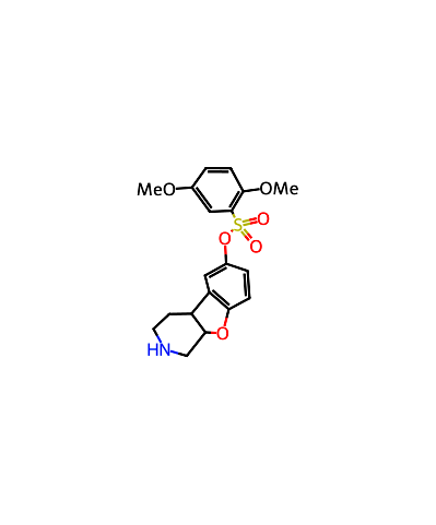 COc1ccc(OC)c(S(=O)(=O)Oc2ccc3c(c2)C2CCNCC2O3)c1